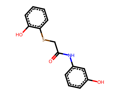 O=C(CSc1ccccc1O)Nc1cccc(O)c1